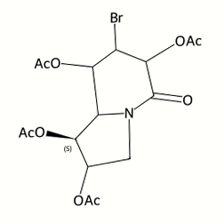 CC(=O)OC1C(=O)N2CC(OC(C)=O)[C@@H](OC(C)=O)C2C(OC(C)=O)C1Br